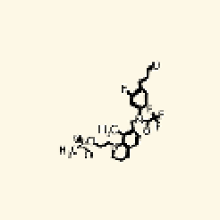 Cc1c(CN(C(=O)C(F)(F)F)c2ccc(CCC=O)c(F)c2)ccc2c1N(CCOS(C)(=O)=O)CCC2